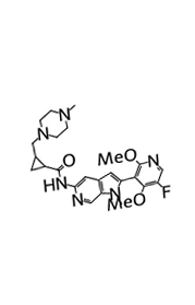 COc1ncc(F)c(OC)c1-c1cc2cc(NC(=O)C3CC3CN3CCN(C)CC3)ncc2n1C